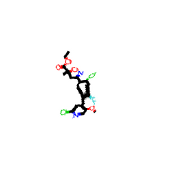 CCOC(=O)C1(C)CC(c2cc(-c3cc(Cl)ncc3OC)c(F)cc2Cl)=NO1